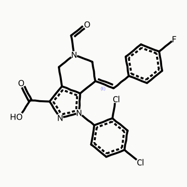 O=CN1C/C(=C\c2ccc(F)cc2)c2c(c(C(=O)O)nn2-c2ccc(Cl)cc2Cl)C1